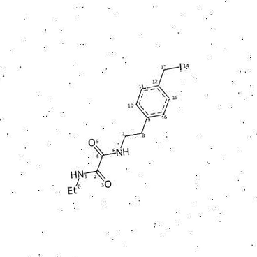 CCNC(=O)C(=O)NCCc1ccc(CI)cc1